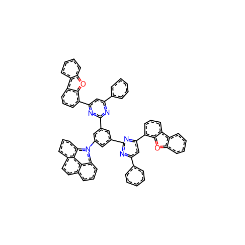 c1ccc(-c2cc(-c3cccc4c3oc3ccccc34)nc(-c3cc(-c4nc(-c5ccccc5)cc(-c5cccc6c5oc5ccccc56)n4)cc(-n4c5cccc6ccc7cccc4c7c65)c3)n2)cc1